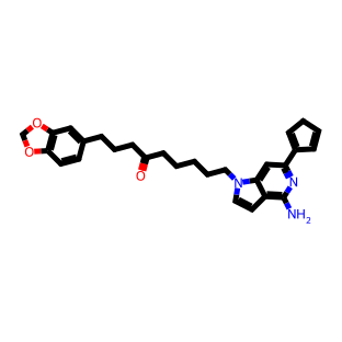 Nc1nc(C2=CCC=C2)cc2c1ccn2CCCCCC(=O)CCCc1ccc2c(c1)OCO2